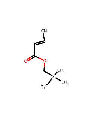 C[Si](C)(C)COC(=O)C=CC#N